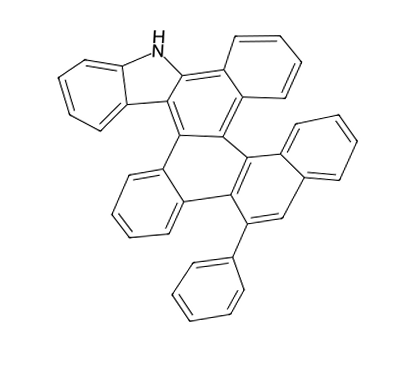 c1ccc(-c2cc3ccccc3c3c2c2ccccc2c2c4c5ccccc5[nH]c4c4ccccc4c32)cc1